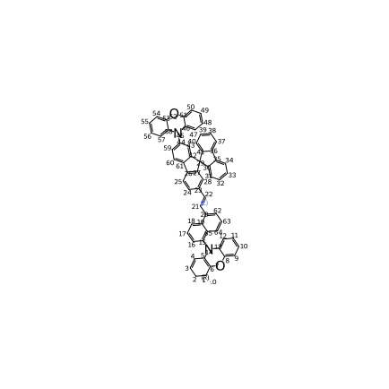 C[C@@H]1CC=CC2=C1Oc1ccccc1N2c1cccc2c(/C=C/c3ccc4c(c3)C3(c5ccccc5-c5ccccc53)c3cc(N5c6ccccc6Oc6ccccc65)ccc3-4)cccc12